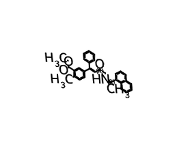 COC(=O)c1cc(C2=C[C@H](CN[C@H](C)c3cccc4ccccc34)Oc3ccccc32)ccc1C